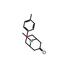 Cc1ccc(CN2C3CC(=O)CC2CC(C)C3)cc1